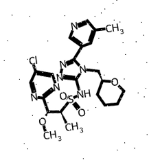 CO[C@H](c1ncc(Cl)cn1)[C@H](C)S(=O)(=O)Nc1nnc(-c2cncc(C)c2)n1C[C@@H]1CCCCO1